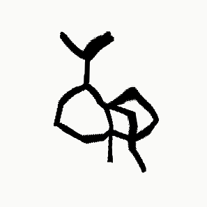 C=C(C)C12CCCC3(C)C1CCC3(C)C2